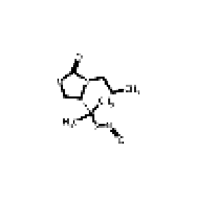 CCCN1C(=O)OC[C@H]1C(C)(C)SN=O